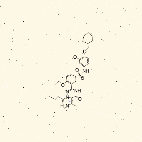 C=C(CCC)N1N=C(c2cc(S(=O)(=O)Nc3ccc(OCC4CCCCC4)c(OC)c3)ccc2OCC)NC(=O)/C1=C(\C)N